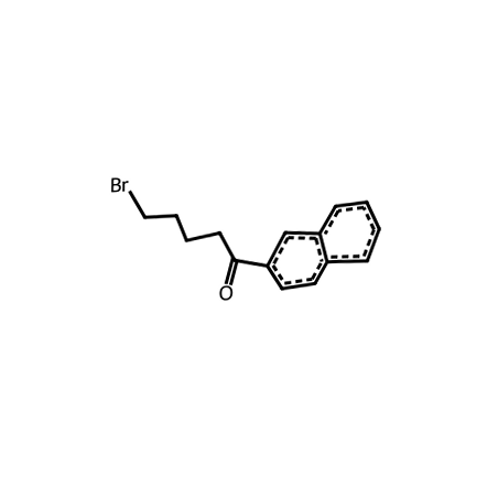 O=C(CCCCBr)c1ccc2ccccc2c1